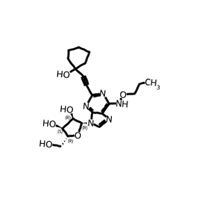 CCCONc1nc(C#CC2(O)CCCCC2)nc2c1ncn2[C@@H]1O[C@H](CO)[C@@H](O)[C@H]1O